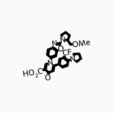 COCC1CCCN1c1nc2ccc(-n3cc(C(=O)O)c(=O)cc3-c3ccc(N4CCCC4)c(C(F)(F)F)c3)cc2o1